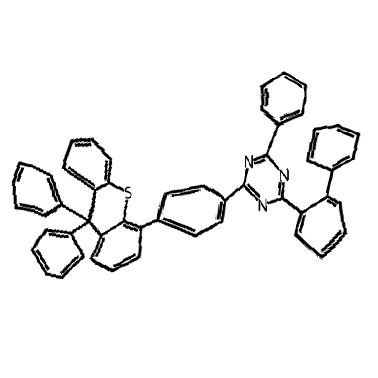 c1ccc(-c2nc(-c3ccc(-c4cccc5c4Sc4ccccc4C5(c4ccccc4)c4ccccc4)cc3)nc(-c3ccccc3-c3ccccc3)n2)cc1